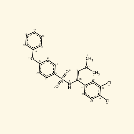 CN(C)C[C@H](NS(=O)(=O)c1ccc(Oc2ccccc2)cc1)c1ccc(Cl)c(Cl)c1